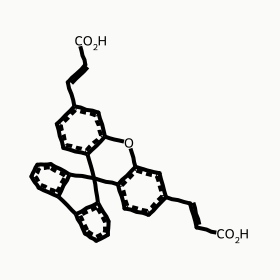 O=C(O)C=Cc1ccc2c(c1)Oc1cc(C=CC(=O)O)ccc1C21c2ccccc2-c2ccccc21